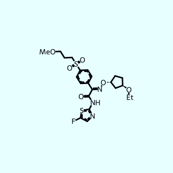 CCO[C@@H]1CC[C@@H](O/N=C(/C(=O)Nc2ncc(F)s2)c2ccc(S(=O)(=O)CCCOC)cc2)C1